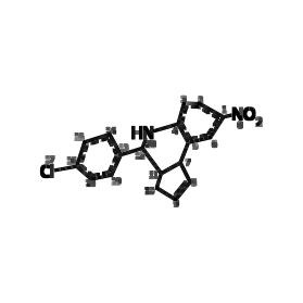 O=[N+]([O-])c1ccc2c(c1)C1C=CCC1C(c1ccc(Cl)cc1)N2